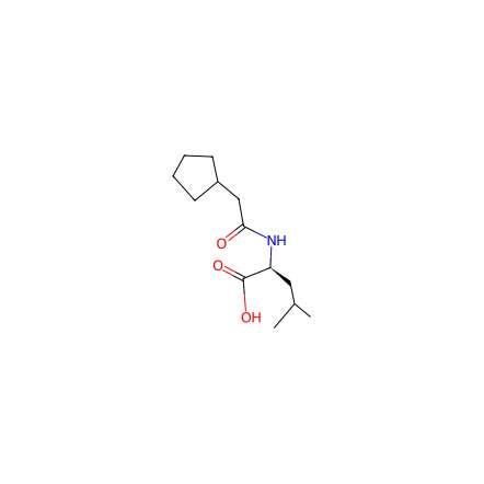 CC(C)C[C@H](NC(=O)CC1CCCC1)C(=O)O